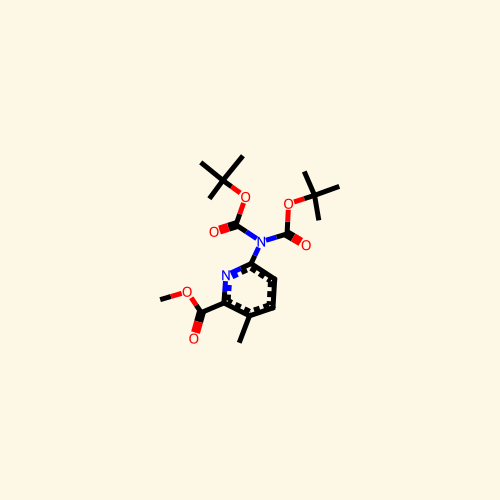 COC(=O)c1nc(N(C(=O)OC(C)(C)C)C(=O)OC(C)(C)C)ccc1C